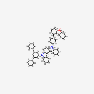 c1ccc(-c2cc(-c3ccccc3)cc(-n3c4ccccc4c4c5c6ccccc6n(-c6ccc(-c7cccc8oc9ccccc9c78)cc6)c5ccc43)c2)cc1